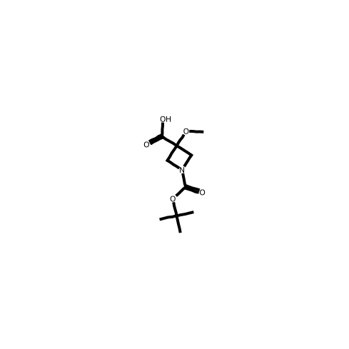 COC1(C(=O)O)CN(C(=O)OC(C)(C)C)C1